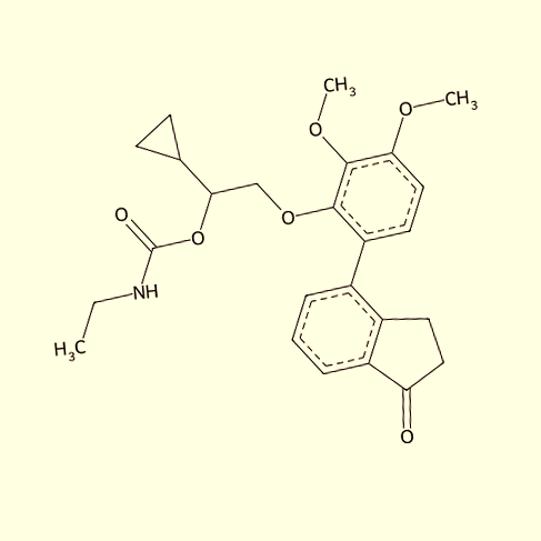 CCNC(=O)OC(COc1c(-c2cccc3c2CCC3=O)ccc(OC)c1OC)C1CC1